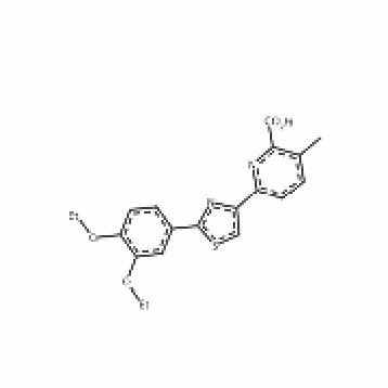 CCOc1ccc(-c2nc(-c3ccc(C)c(C(=O)O)n3)cs2)cc1OCC